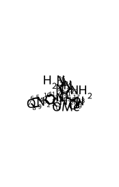 COc1cc(N2CCOCC2)ccc1-n1nc(-c2cnco2)c2c(N)nc(N)nc21